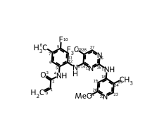 C=CC(=O)Nc1cc(C)c(F)cc1Nc1nc(Nc2cc(OC)ncc2C)ncc1C(F)(F)F